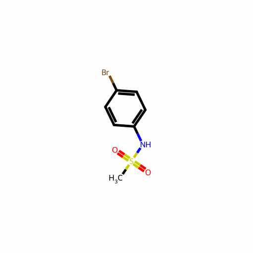 CS(=O)(=O)Nc1ccc(Br)cc1